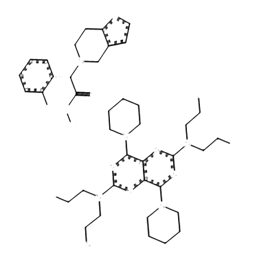 COC(=O)[C@H](c1ccccc1Cl)N1CCc2sccc2C1.OCCN(CCO)c1nc(N2CCCCC2)c2nc(N(CCO)CCO)nc(N3CCCCC3)c2n1